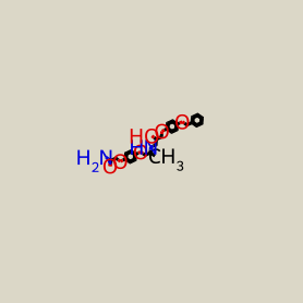 CC(COc1ccc(OCC(N)=O)cc1)NCC(O)COc1ccc(OCc2ccccc2)cc1